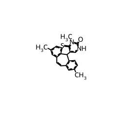 Cc1ccc2c(c1)C=Cc1cc(C)ccc1C2c1c[nH]c(=O)n(C)c1=S